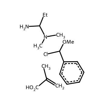 C=C(C)C(=O)O.CCC(N)N(C)C.COC(Cl)c1ccccc1